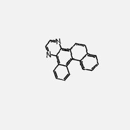 c1ccc2c(c1)ccc1c3nccnc3c3ccccc3c21